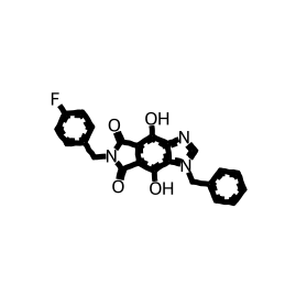 O=C1c2c(c(O)c3c(ncn3Cc3ccccc3)c2O)C(=O)N1Cc1ccc(F)cc1